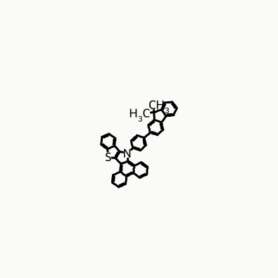 CC1(C)c2ccccc2-c2ccc(-c3ccc(-n4c5c6ccccc6sc5c5c6ccccc6c6ccccc6c54)cc3)cc21